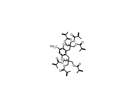 C=C(C)C(=O)OCC(COC(=O)C(=C)C)(COC(=O)C(=C)C)Cc1c(C(=O)O)cc(C(=O)O)c(C(=O)O)c1CC(COC(=O)C(=C)C)(COC(=O)C(=C)C)COC(=O)C(=C)C